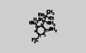 Bc1cc(C(F)(F)F)cc(C(C)(C)C)c1C(B)(B)C(C)(CC)CC